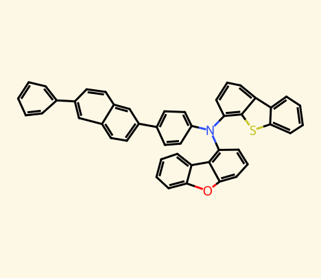 c1ccc(-c2ccc3cc(-c4ccc(N(c5cccc6c5sc5ccccc56)c5cccc6oc7ccccc7c56)cc4)ccc3c2)cc1